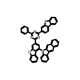 c1ccc(-c2nc(-c3cc(-n4c5ccccc5c5cc6ccccc6cc54)c4c(c3)oc3ccccc34)nc(-c3ccc4c(c3)sc3ccccc34)n2)cc1